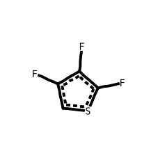 Fc1csc(F)c1F